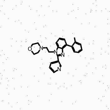 Cc1ccccc1-c1cccc2c1nc(-c1cccnc1)n2CCN1CCOCC1